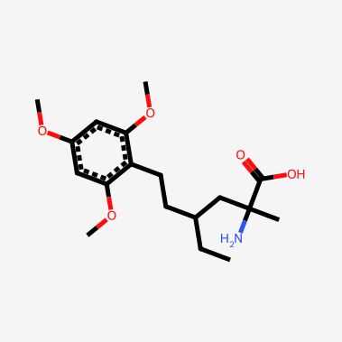 CCC(CCc1c(OC)cc(OC)cc1OC)CC(C)(N)C(=O)O